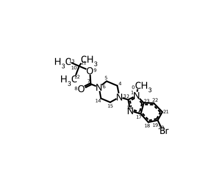 Cn1c(N2CCN(C(=O)OC(C)(C)C)CC2)nc2cc(Br)ccc21